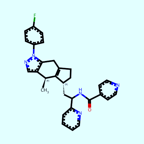 C[C@@H]1C2=C(CC[C@@H]2CC(NC(=O)c2ccncc2)c2ccccn2)Cc2c1cnn2-c1ccc(F)cc1